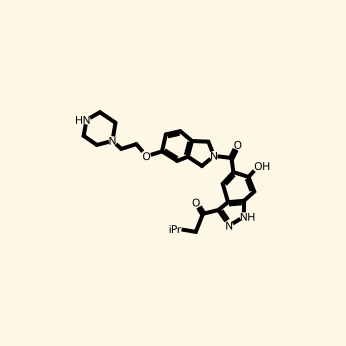 CC(C)CC(=O)c1n[nH]c2cc(O)c(C(=O)N3Cc4ccc(OCCN5CCNCC5)cc4C3)cc12